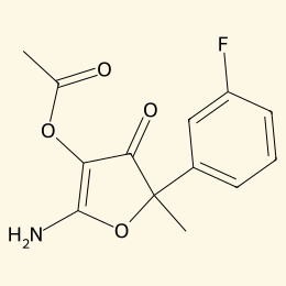 CC(=O)OC1=C(N)OC(C)(c2cccc(F)c2)C1=O